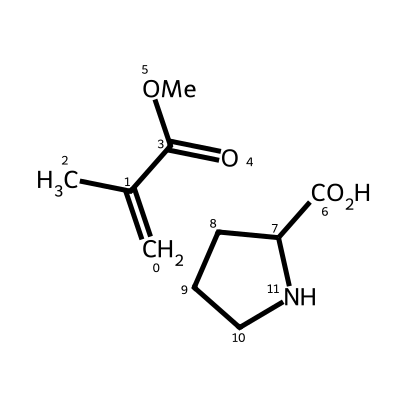 C=C(C)C(=O)OC.O=C(O)C1CCCN1